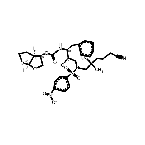 CC(C)(CCCC#N)CN(C[C@@H](O)[C@H](Cc1ccccc1)NC(=O)O[C@H]1CO[C@H]2OCC[C@H]21)S(=O)(=O)c1ccc([N+](=O)[O-])cc1